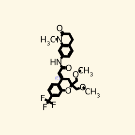 COCC1(COC)C/C(=C\C(=O)Nc2ccc3c(c2)N(C)C(=O)CC3)c2ccc(C(F)(F)F)cc2O1